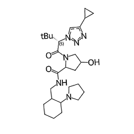 CC(C)(C)[C@@H](C(=O)N1CC(O)CC1C(=O)NCC1CCCCC1N1CCCC1)n1cc(C2CC2)nn1